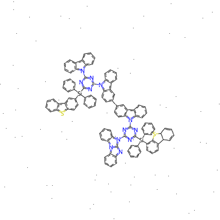 C1=CC2Sc3c(cccc3[Si](c3ccccc3)(c3ccccc3)c3nc(-n4c5ccccc5c5cc(-c6ccc7c(c6)c6ccccc6n7-c6nc(-n7c8ccccc8c8ccccc87)nc([Si](c7ccccc7)(c7ccccc7)c7ccc8sc9ccccc9c8c7)n6)ccc54)nc(-n4c5ccccc5n5c6ccccc6nc45)n3)C2C=C1